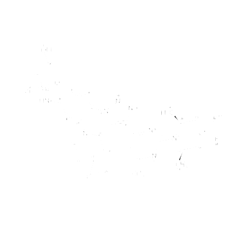 Cc1cc(-c2cn(-c3ccc(NS(=O)(=O)CCO)cc3N3CCC4(CC3)CC4)nn2)nc(N2[C@H](C)CC(F)(F)C[C@@H]2C)n1